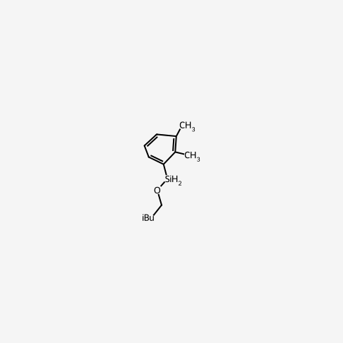 CCC(C)CO[SiH2]c1cccc(C)c1C